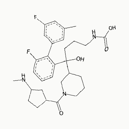 CNC1CCC(C(=O)N2CCCC(C(O)(CCCNC(=O)O)c3cccc(F)c3-c3cc(C)cc(F)c3)C2)C1